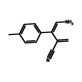 C=C(C#N)/C(=C\N)c1ccc(C)cc1